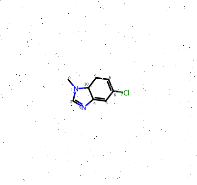 CN1C=NC2=CC(Cl)=CCC21